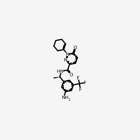 C[C@@H](NC(=O)c1ccc(=O)n(C2=CCCCC2)n1)c1cc(N)cc(C(F)(F)F)c1